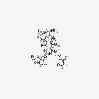 CC(=O)N(C)C(=O)CCCN1CCOc2c(Cl)c(-c3ccc(F)c4sc(N)c(C#N)c34)c(F)c3nc(OC[C@@]45CCCN4C[C@H](F)C5)nc1c23